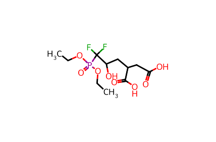 CCOP(=O)(OCC)C(F)(F)C(O)CC(CC(=O)O)C(=O)O